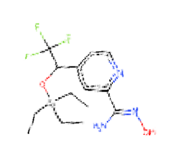 CC[Si](CC)(CC)OC(c1ccnc(C(N)=NO)c1)C(F)(F)F